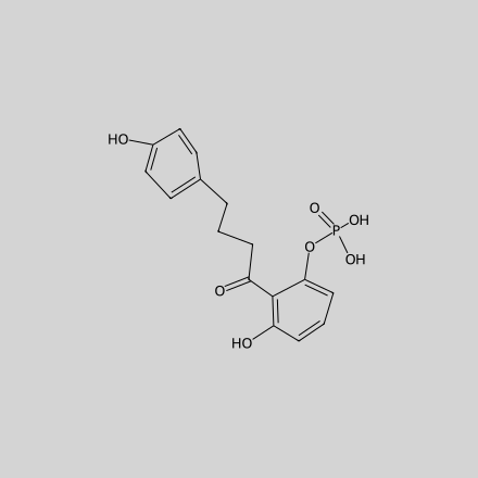 O=C(CCCc1ccc(O)cc1)c1c(O)cccc1OP(=O)(O)O